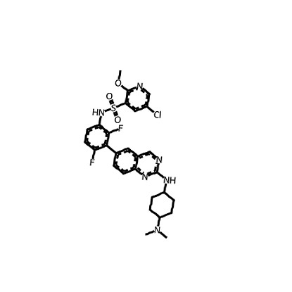 COc1ncc(Cl)cc1S(=O)(=O)Nc1ccc(F)c(-c2ccc3nc(NC4CCC(N(C)C)CC4)ncc3c2)c1F